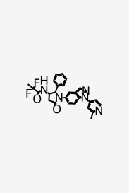 Cc1cc(-n2ncc3cc(N4C(=O)CC(NC(=O)C(C)(F)F)C4c4ccccc4)ccc32)ccn1